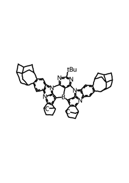 CC(C)(C)c1nc2c3c(n1)-n1c4cc5c(cc4n4c6c(c(c14)B3c1c3c(n4c7cc8c(cc7n-2c14)C1CC2CC4CC8CC24C1)C1CCC3CC1)C1CCC6CC1)C1CC2CC3CC5CC32C1